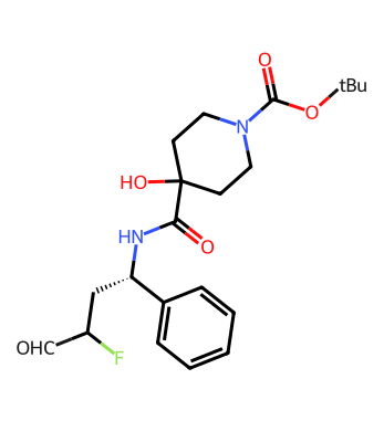 CC(C)(C)OC(=O)N1CCC(O)(C(=O)N[C@@H](CC(F)C=O)c2ccccc2)CC1